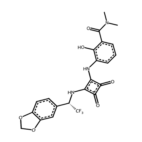 CN(C)C(=O)c1cccc(Nc2c(N[C@@H](c3ccc4c(c3)OCO4)C(F)(F)F)c(=O)c2=O)c1O